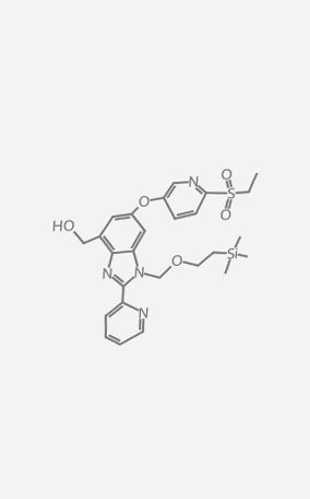 CCS(=O)(=O)c1ccc(Oc2cc(CO)c3nc(-c4ccccn4)n(COCC[Si](C)(C)C)c3c2)cn1